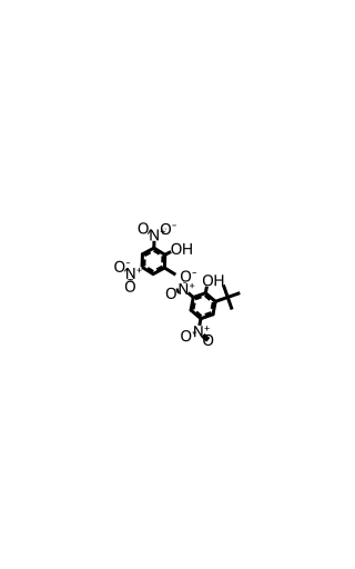 CC(C)(C)c1cc([N+](=O)[O-])cc([N+](=O)[O-])c1O.Cc1cc([N+](=O)[O-])cc([N+](=O)[O-])c1O